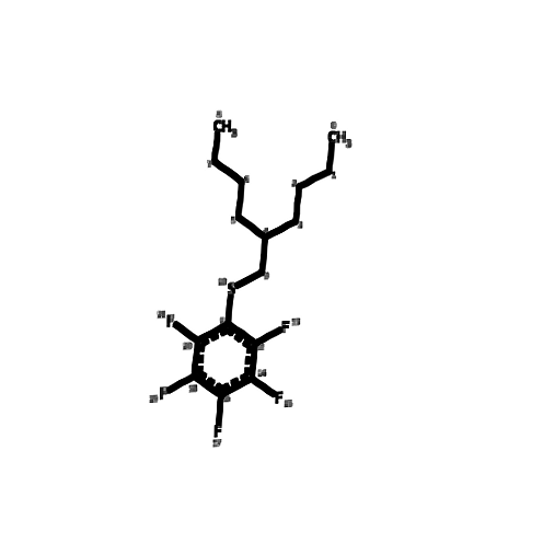 CCCCC(CCCC)CSc1c(F)c(F)c(F)c(F)c1F